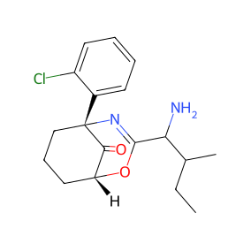 CCC(C)C(N)C1=N[C@@]2(c3ccccc3Cl)CCC[C@@H](O1)C2=O